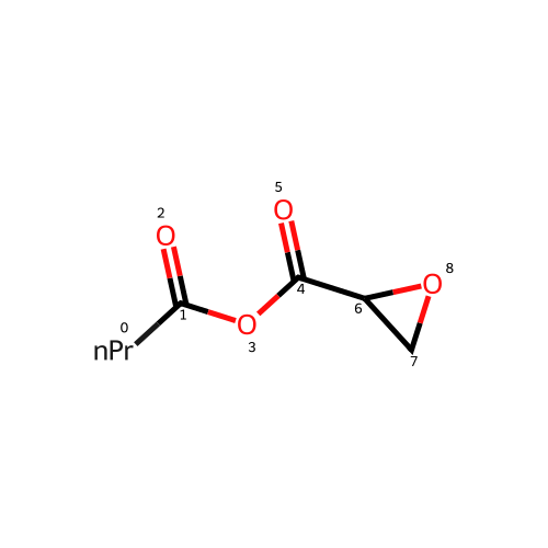 CCCC(=O)OC(=O)C1CO1